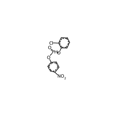 O=[N+]([O-])c1ccc(O[PH](=O)Oc2ccccc2Cl)cc1